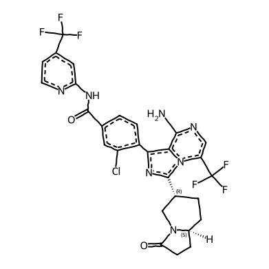 Nc1ncc(C(F)(F)F)n2c([C@@H]3CC[C@H]4CCC(=O)N4C3)nc(-c3ccc(C(=O)Nc4cc(C(F)(F)F)ccn4)cc3Cl)c12